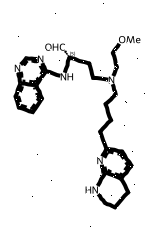 COCCN(CCCCc1ccc2c(n1)NCCC2)CC[C@@H](C=O)Nc1ncnc2ccccc12